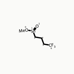 C[O][Sn](=[O])[CH2]CCC(F)(F)F